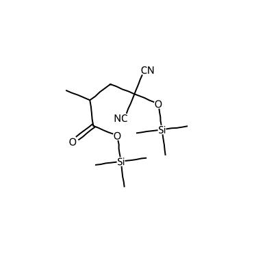 CC(CC(C#N)(C#N)O[Si](C)(C)C)C(=O)O[Si](C)(C)C